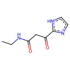 CCNC(=O)CC(=O)c1ncc[nH]1